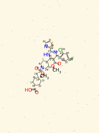 COC(=O)C1=C(C2CCN(S(=O)(=O)C[C@]3(C)CC[C@@H](C(=O)O)CC3)CC2)NC(c2nccs2)=NC1c1ccc(F)cc1Cl